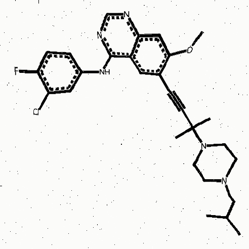 COc1cc2ncnc(Nc3ccc(F)c(Cl)c3)c2cc1C#CC(C)(C)N1CCN(CC(C)C)CC1